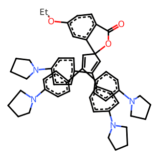 CCOc1ccc2c(c1)C(C=C(c1ccc(N3CCCC3)cc1)c1ccc(N3CCCC3)cc1)(C=C(c1ccc(N3CCCC3)cc1)c1ccc(N3CCCC3)cc1)OC2=O